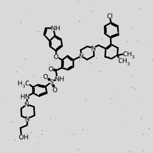 Cc1cc(S(=O)(=O)NC(=O)c2ccc(N3CCN(CC4=C(c5ccc(Cl)cc5)CC(C)(C)CC4)CC3)cc2Oc2ccc3[nH]ccc3c2)ccc1NN1CCN(CCO)CC1